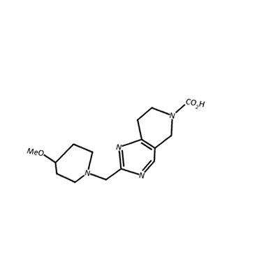 COC1CCN(Cc2ncc3c(n2)CCN(C(=O)O)C3)CC1